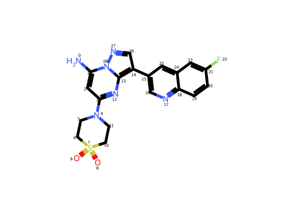 Nc1cc(N2CCS(=O)(=O)CC2)nc2c(-c3cnc4ccc(F)cc4c3)cnn12